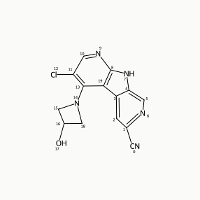 N#Cc1cc2c(cn1)[nH]c1ncc(Cl)c(N3CC(O)C3)c12